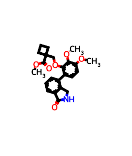 COC(=O)C1(COc2c(-c3cccc4c3CNC4=O)ccc(OC)c2OC)CCC1